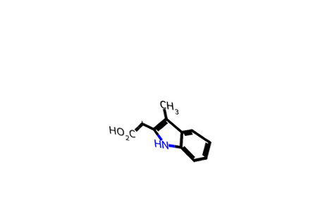 Cc1c([CH]C(=O)O)[nH]c2ccccc12